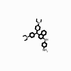 CCN(CC)c1ccc(C(=C2C=CC(=[N+](CC)CC)C=C2)c2ccc(Nc3ccc(N)cc3)c3ccccc23)cc1